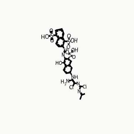 CC(C)=N/C(Cl)=N\C(Cl)=C(\N)Nc1ccc2c(O)c(/N=N/c3ccc4c(S(=O)(=O)O)cccc4c3S(=O)(=O)O)c(S(=O)(=O)O)cc2c1